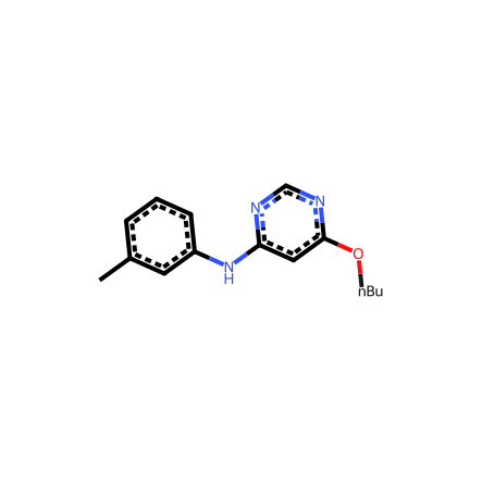 CCCCOc1cc(Nc2cccc(C)c2)ncn1